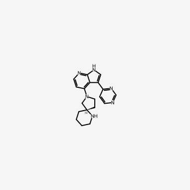 c1cc(-c2c[nH]c3nccc(N4CC[C@@]5(CCCCN5)C4)c23)ncn1